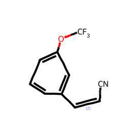 N#C/C=C\c1cccc(OC(F)(F)F)c1